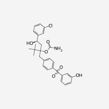 CC(C)(C)C(Cc1ccc(S(=O)(=O)c2cccc(O)c2)cc1)(C[C@@H](O)c1cccc(Cl)c1)OC(N)=O